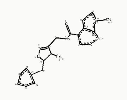 CC1C(CNC(=O)c2ccnc3c2ccn3C)=NOC1Cc1ccccc1